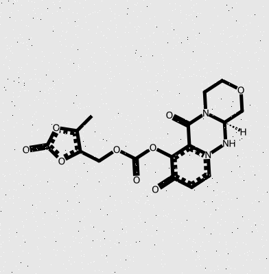 Cc1oc(=O)oc1COC(=O)Oc1c2n(ccc1=O)N[C@@H]1COCCN1C2=O